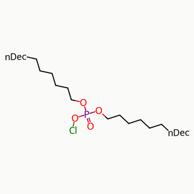 CCCCCCCCCCCCCCCCOP(=O)(OCl)OCCCCCCCCCCCCCCCC